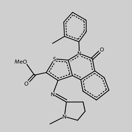 COC(=O)c1sc2c(c1N=C1CCCN1C)c1ccccc1c(=O)n2-c1ccccc1C